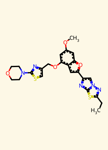 CCc1nn2cc(-c3cc4c(OCc5csc(N6CCOCC6)n5)cc(OC)cc4o3)nc2s1